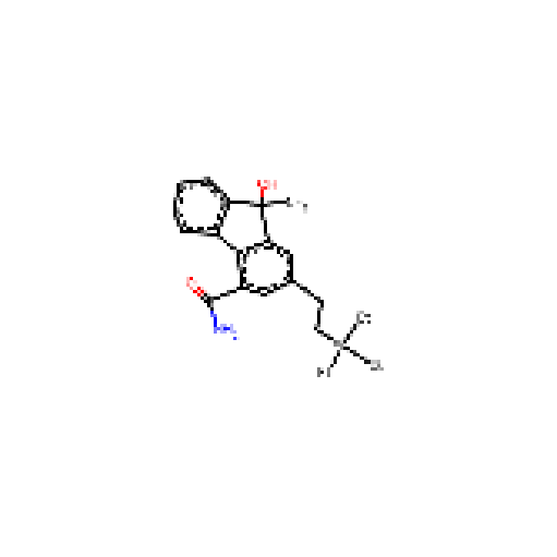 CC[Si](CC)(CC)CCc1cc(C(N)=O)c2c(c1)C(O)(C(F)(F)F)c1ccccc1-2